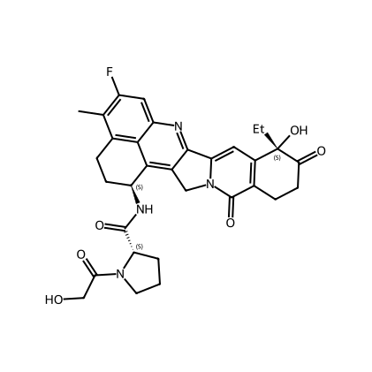 CC[C@@]1(O)C(=O)CCc2c1cc1n(c2=O)Cc2c-1nc1cc(F)c(C)c3c1c2[C@@H](NC(=O)[C@@H]1CCCN1C(=O)CO)CC3